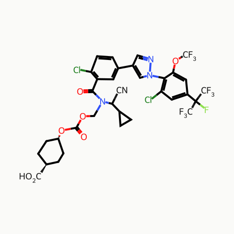 N#CC(C1CC1)N(COC(=O)O[C@H]1CC[C@H](C(=O)O)CC1)C(=O)c1cc(-c2cnn(-c3c(Cl)cc(C(F)(C(F)(F)F)C(F)(F)F)cc3OC(F)(F)F)c2)ccc1Cl